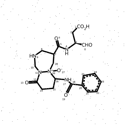 O=C[C@H](CC(=O)O)NC(=O)C1CNCN2C(=O)CCC(NC(=O)c3ccccc3)[N+]2([O-])C1